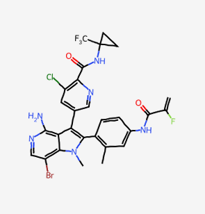 C=C(F)C(=O)Nc1ccc(-c2c(-c3cnc(C(=O)NC4(C(F)(F)F)CC4)c(Cl)c3)c3c(N)ncc(Br)c3n2C)c(C)c1